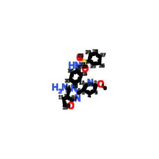 COc1ccc(C2=Nc3occc3C(N)N2c2ccc(NS(=O)(=O)c3ccccc3)cc2)cn1